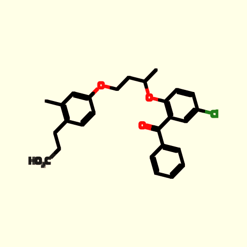 Cc1cc(OCCC(C)Oc2ccc(Cl)cc2C(=O)c2ccccc2)ccc1CCC(=O)O